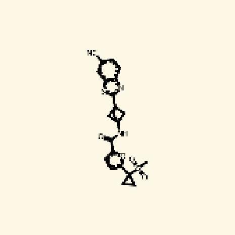 CS(=O)(=O)C1(c2ccc(C(=O)NC34CC(c5nc6ccc(C#N)cc6s5)(C3)C4)o2)CC1